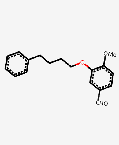 COc1ccc(C=O)cc1OCCCCc1ccccc1